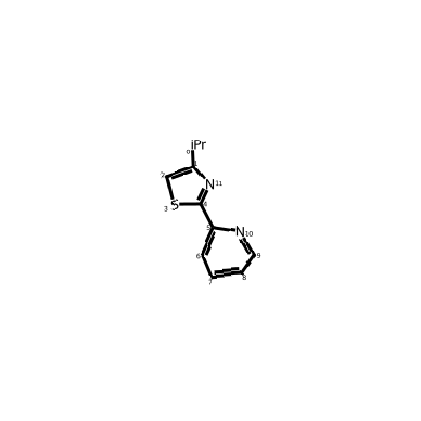 CC(C)c1csc(-c2ccccn2)n1